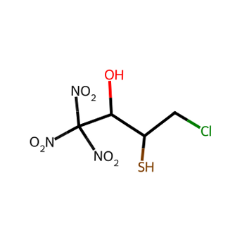 O=[N+]([O-])C(C(O)C(S)CCl)([N+](=O)[O-])[N+](=O)[O-]